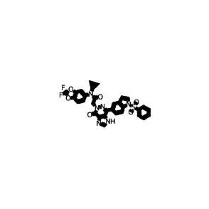 O=C(Cn1nc(-c2ccc3c(ccn3S(=O)(=O)c3ccccc3)c2)c2[nH]cnc2c1=O)N(c1ccc2c(c1)OC(F)(F)O2)C1CC1